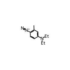 CCN(CC)c1ccc([N+]#N)c(C)c1